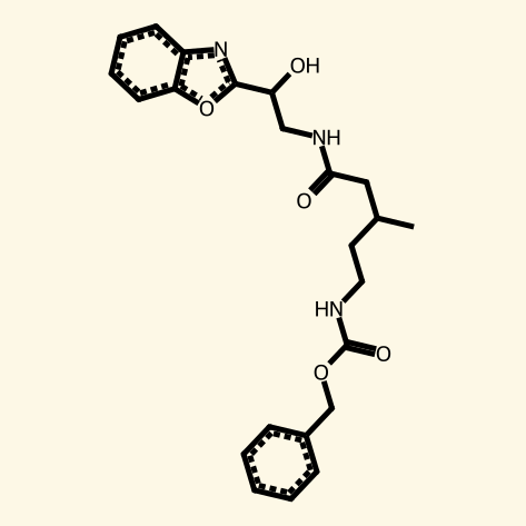 CC(CCNC(=O)OCc1ccccc1)CC(=O)NCC(O)c1nc2ccccc2o1